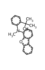 CN(c1ccccc1C(C)(C)C)c1cccc2c1oc1ccccc12